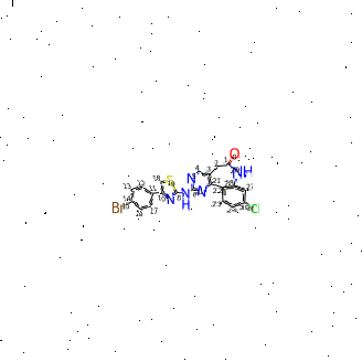 O=C1Cc2cnc(Nc3nc(-c4ccc(Br)cc4)cs3)nc2-c2ccc(Cl)cc2N1